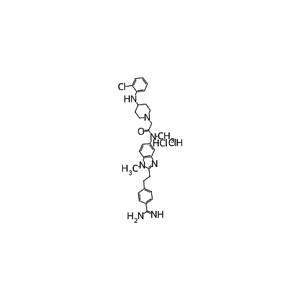 CN(C(=O)CN1CCC(Nc2ccccc2Cl)CC1)c1ccc2c(c1)nc(CCc1ccc(C(=N)N)cc1)n2C.Cl.Cl